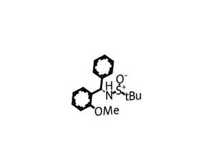 COc1ccccc1[C@@H](N[S+]([O-])C(C)(C)C)c1ccccc1